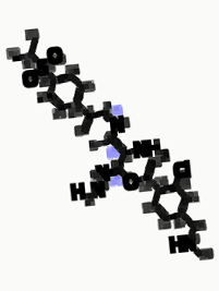 C=C(\C=N/C(C)=C(N)/C(=N/N)OC(=C)c1ccc(CNC)cc1Cl)c1ccc(S(=O)(=O)C(C)C)cc1